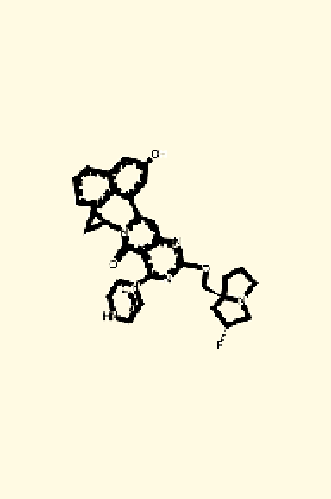 O=c1c2c(N3CC4CCCC3CN4)nc(OC[C@@]34CCCN3C[C@H](F)C4)nc2cc(-c2cc(O)cc3ccccc23)n1C1CC1